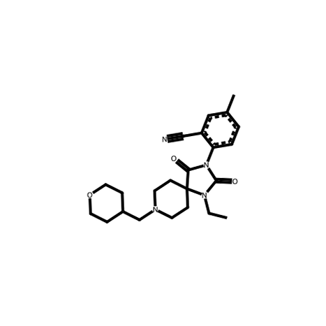 CCN1C(=O)N(c2ccc(C)cc2C#N)C(=O)C12CCN(CC1CCOCC1)CC2